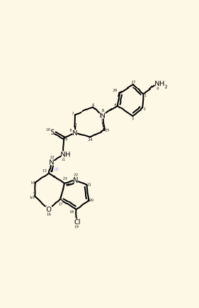 Nc1ccc(N2CCN(C(=S)N/N=C3/CCOc4c(Cl)ccnc43)CC2)cc1